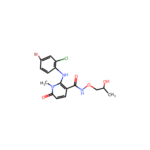 CC(O)CONC(=O)c1ccc(=O)n(C)c1Nc1ccc(Br)cc1Cl